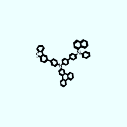 c1ccc(N(c2ccc(-c3ccc(N(c4ccc(-c5ccc6sc7ccccc7c6c5)cc4)c4ccc5c6ccccc6c6ccccc6c5c4)cc3)cc2)c2cccc3ccccc23)cc1